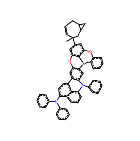 CC1(c2cc3c4c(c2)Oc2cc5c(cc2B4c2ccccc2O3)N(c2ccccc2)c2cccc3c(N(c4ccccc4)c4ccccc4)ccc-5c23)C=CCC2CC2C1